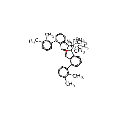 CCC[CH2][Hf]([CH3])([CH3])([CH3])(=[SiH2])([CH]1C=Cc2c(-c3cccc(C)c3C)cccc21)[CH]1C=Cc2c(-c3cccc(C)c3C)cccc21